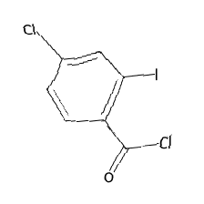 O=C(Cl)c1ccc(Cl)cc1I